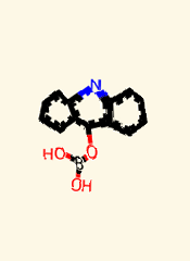 OB(O)Oc1c2ccccc2nc2ccccc12